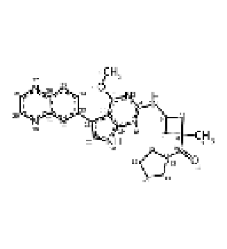 COc1nc(NC2CC(C)(C(=O)N3CCCC3)C2)nc2[nH]cc(-c3ccc4nccnc4c3)c12